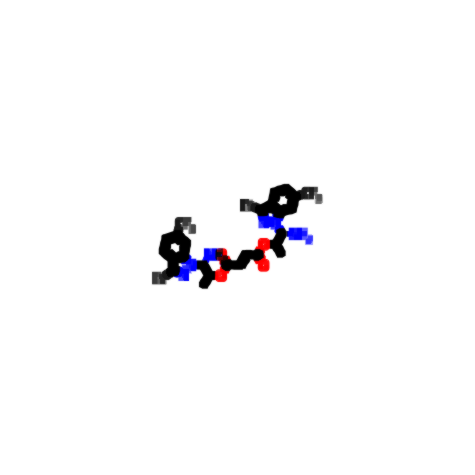 CCc1nn([C@H](N)C(C)OC(=O)/C=C/C(=O)OC(C)[C@@H](N)n2nc(CC)c3ccc(C(F)(F)F)cc32)c2cc(C(F)(F)F)ccc12